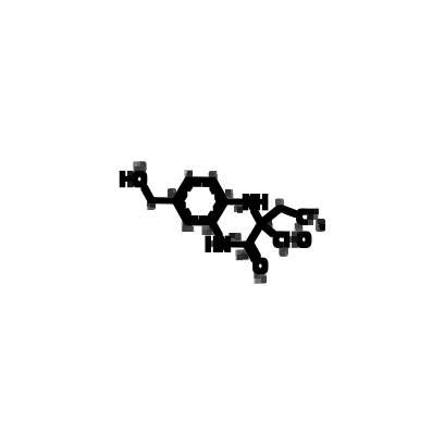 O=CC1(CC(F)(F)F)Nc2ccc(CO)cc2NC1=O